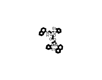 CCc1ccccc1OC[C@H](CN[C@H]1CCCc2ccccc21)OC(=O)C(=O)O[C@@H](CN[C@H]1CCCc2ccccc21)COc1ccccc1CC